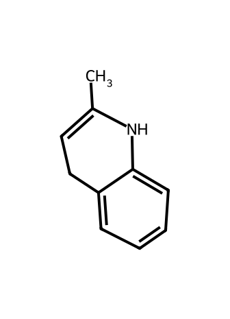 CC1=CCc2ccccc2N1